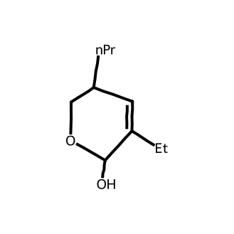 CCCC1C=C(CC)C(O)OC1